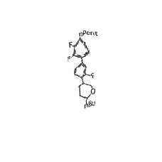 CCCCCc1ccc(-c2ccc(C3CCC(CCCC)OC3)c(F)c2)c(F)c1F